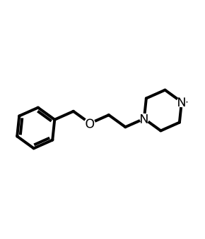 c1ccc(COCCN2CC[N]CC2)cc1